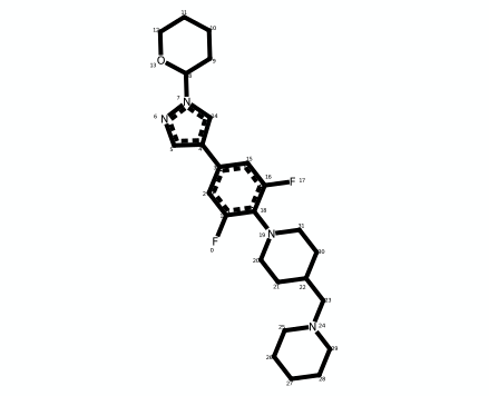 Fc1cc(-c2cnn(C3CCCCO3)c2)cc(F)c1N1CCC(CN2CCCCC2)CC1